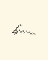 CCCCC=CN(CC1(C)CO1)C(=O)CCCCCCCCCCCCCCCCC